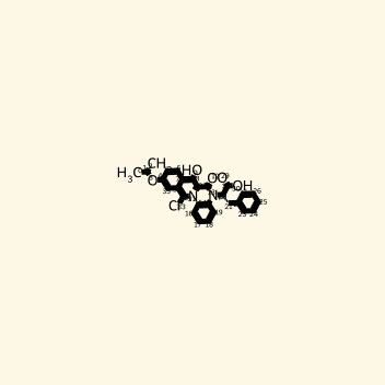 CC(C)Oc1ccc2c(O)c(C(=O)N(c3ccccc3)[C@@H](Cc3ccccc3)C(=O)O)nc(Cl)c2c1